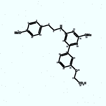 COc1ccc(CCNc2cc(-c3cccc(OCC(=O)O)c3)nc(OC)n2)cc1